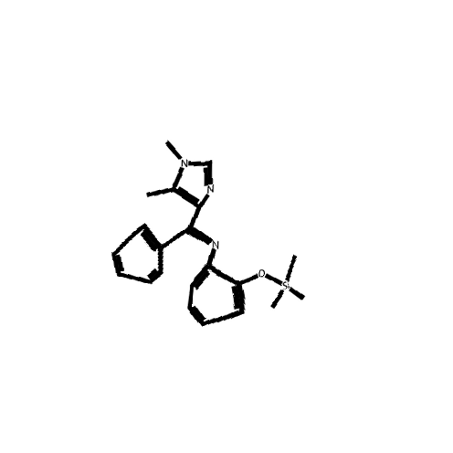 Cc1c(C(=Nc2ccccc2O[Si](C)(C)C)c2ccccc2)ncn1C